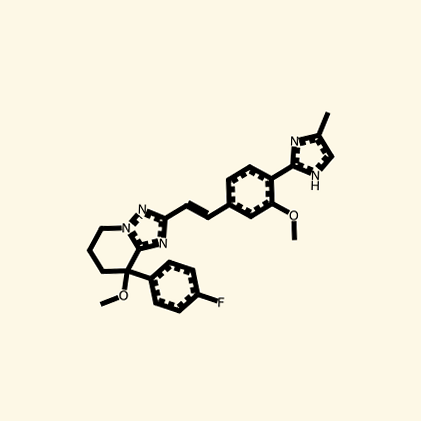 COc1cc(C=Cc2nc3n(n2)CCCC3(OC)c2ccc(F)cc2)ccc1-c1nc(C)c[nH]1